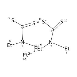 CCN(CC)C(=S)[S-].CCN(CC)C(=S)[S-].[Pt+2]